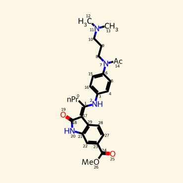 CCCC(Nc1ccc(N(CCCN(C)C)C(C)=O)cc1)=C1C(=O)Nc2cc(C(=O)OC)ccc21